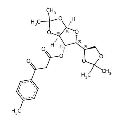 Cc1ccc(C(=O)CC(=O)O[C@@H]2[C@H]3OC(C)(C)O[C@H]3O[C@@H]2[C@H]2COC(C)(C)O2)cc1